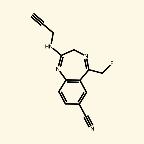 C#CCNC1=Nc2ccc(C#N)cc2C(CF)=NC1